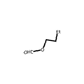 [CH2]CCCO[C]=O